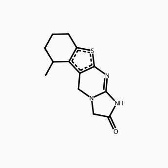 CC1CCCc2sc3c(c21)CN1CC(=O)NC1=N3